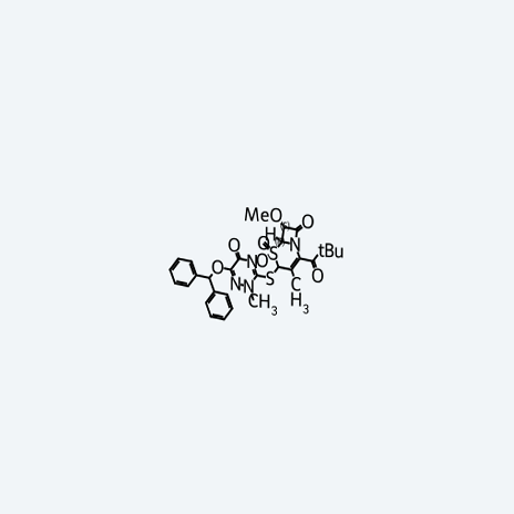 CO[C@H]1C(=O)N2C(C(=O)C(C)(C)C)=C(C)C(Sc3nc(=O)c(OC(c4ccccc4)c4ccccc4)nn3C)S(=O)(=O)[C@H]12